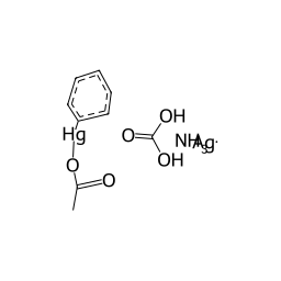 CC(=O)[O][Hg][c]1ccccc1.N.O=C(O)O.[Ag]